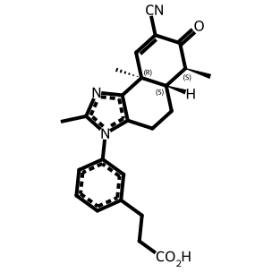 Cc1nc2c(n1-c1cccc(CCC(=O)O)c1)CC[C@H]1[C@H](C)C(=O)C(C#N)=C[C@]21C